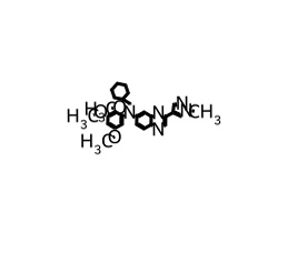 COc1cc(OC)cc(N(CC2(OC)CCCCC2)c2ccc3ncc(-c4cnn(C)c4)nc3c2)c1